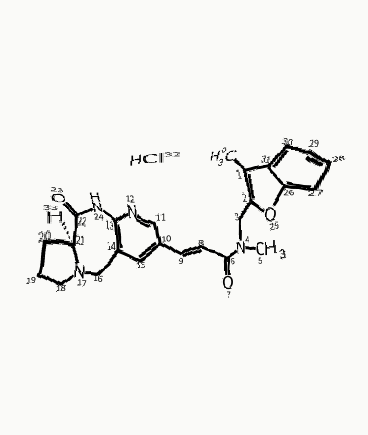 Cc1c(CN(C)C(=O)/C=C/c2cnc3c(c2)CN2CCC[C@H]2C(=O)N3)oc2ccccc12.Cl